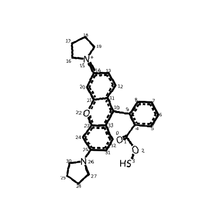 O=C(OS)c1ccccc1-c1c2ccc(=[N+]3CCCC3)cc-2oc2cc(N3CCCC3)ccc12